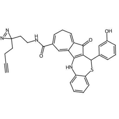 C#CCCC1(CCNC(=O)C2=CCC=C3C(=O)C4=C(Nc5ccccc5SC4c4cccc(O)c4)C3=C2)N=N1